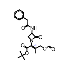 C/C(COC=O)=C(\C(=O)OC(C)(C)C)N1CC(NC(=O)Cc2ccccc2)C1=O